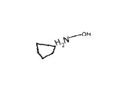 C1CC1.NO